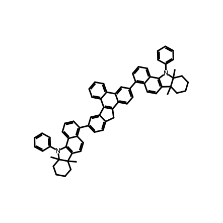 CC12CCCCC1(C)N(c1ccccc1)c1c2ccc2c(-c3ccc4c(c3)-c3c(c5ccc(-c6cccc7c8c(ccc67)C6(C)CCCCC6(C)N8c6ccccc6)cc5c5ccccc35)C4)cccc12